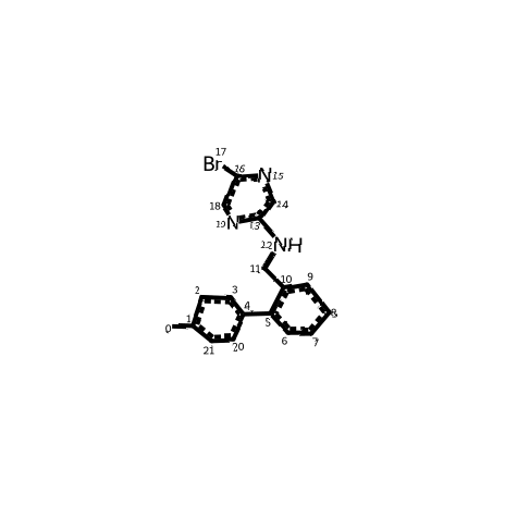 Cc1ccc(-c2ccccc2CNc2cnc(Br)cn2)cc1